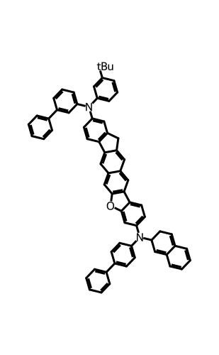 CC(C)(C)c1cccc(N(c2cccc(-c3ccccc3)c2)c2ccc3c(c2)Cc2cc4cc5c(cc4cc2-3)oc2cc(N(c3ccc(-c4ccccc4)cc3)C3C=c4ccccc4=CC3)ccc25)c1